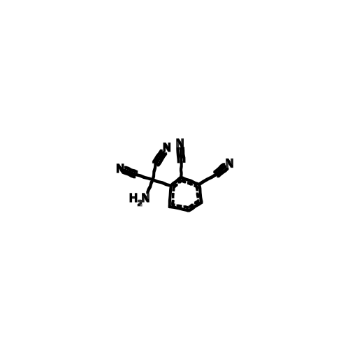 N#Cc1cccc(C(N)(C#N)C#N)c1C#N